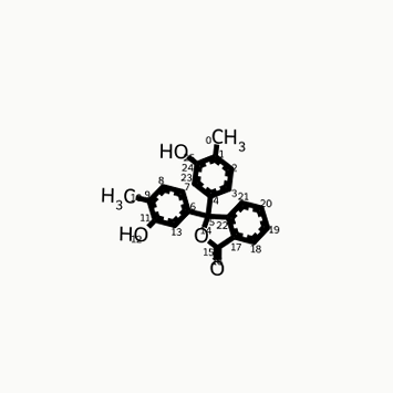 Cc1ccc(C2(c3ccc(C)c(O)c3)OC(=O)c3ccccc32)cc1O